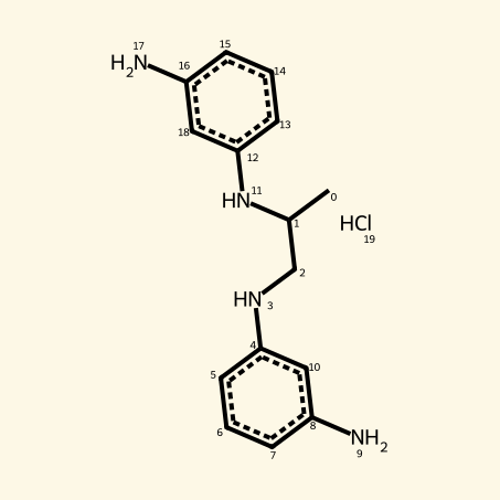 CC(CNc1cccc(N)c1)Nc1cccc(N)c1.Cl